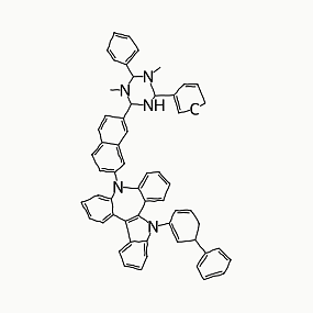 CN1C(C2=CCCC=C2)NC(c2ccc3ccc(N4c5ccccc5-c5c(n(C6=CC(c7ccccc7)CC=C6)c6ccccc56)-c5ccccc54)cc3c2)N(C)C1c1ccccc1